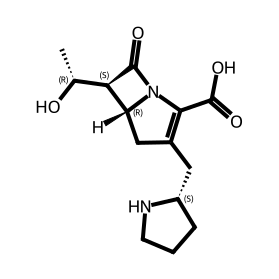 C[C@@H](O)[C@H]1C(=O)N2C(C(=O)O)=C(C[C@@H]3CCCN3)C[C@H]12